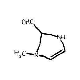 CN1C=CNC1C=O